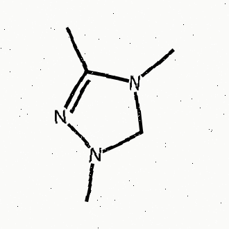 CC1=NN(C)CN1C